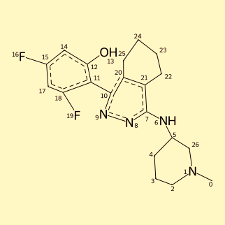 CN1CCCC(Nc2nnc(-c3c(O)cc(F)cc3F)c3c2CCCC3)C1